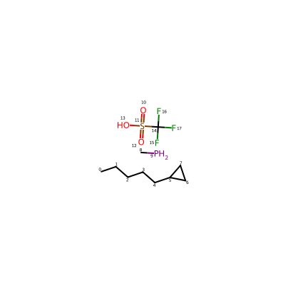 CCCCCC1CC1.CP.O=S(=O)(O)C(F)(F)F